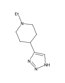 CCN1CCC(c2c[nH]nn2)CC1